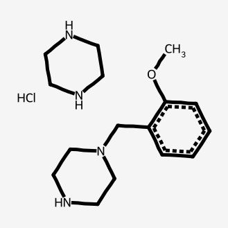 C1CNCCN1.COc1ccccc1CN1CCNCC1.Cl